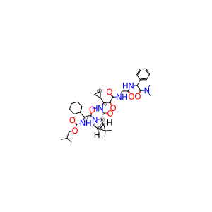 CC(C)COC(=O)N[C@H](C(=O)N1C[C@H]2[C@@H]([C@H]1C(=O)N[C@H](C(=O)C(=O)NCC(=O)NC(C(=O)N(C)C)c1ccccc1)C1C[C@@H]1C)C2(C)C)C1CCCCC1